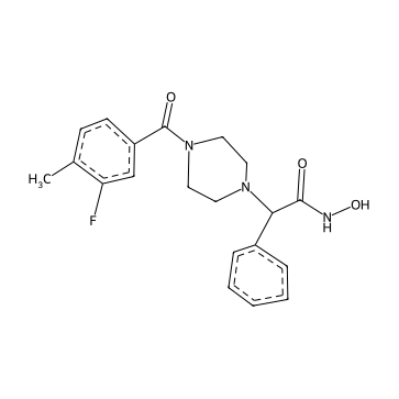 Cc1ccc(C(=O)N2CCN(C(C(=O)NO)c3ccccc3)CC2)cc1F